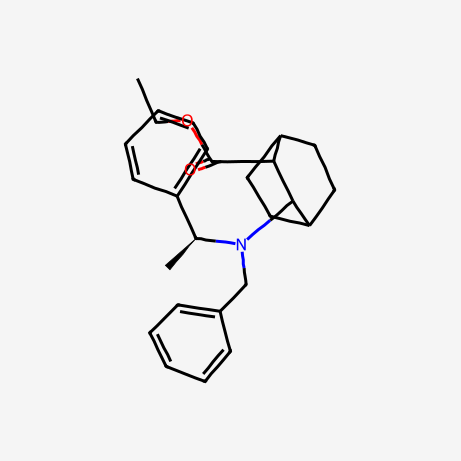 CCOC(=O)C1C2CCC(CC2)C1N(Cc1ccccc1)[C@@H](C)c1ccccc1